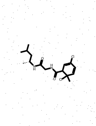 CC(C)C[C@@H](C)NC(=O)CNC(=O)C1C=C(Cl)C=CC1(C)Cl